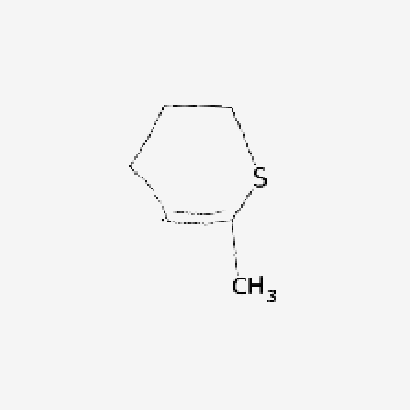 CC1=[C]CCCS1